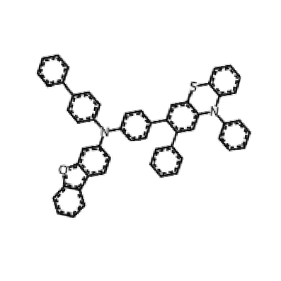 c1ccc(-c2ccc(N(c3ccc(-c4cc5c(cc4-c4ccccc4)N(c4ccccc4)c4ccccc4S5)cc3)c3ccc4c(c3)oc3ccccc34)cc2)cc1